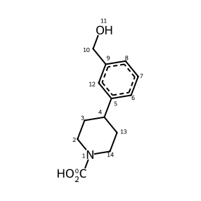 O=C(O)N1CCC(c2cccc(CO)c2)CC1